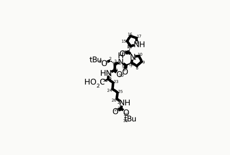 CC(C)(C)OC[C@H](NC(=O)[C@@H]1CCCN1C(=O)[C@@H]1CCCN1)C(=O)N[C@@H](CCCCNC(=O)OC(C)(C)C)C(=O)O